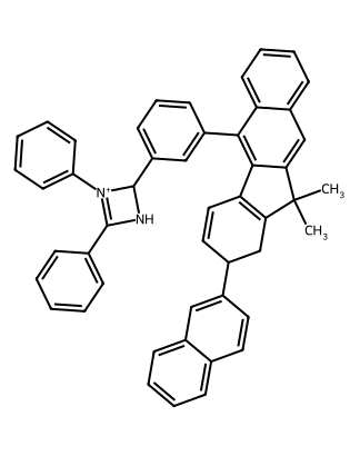 CC1(C)C2=C(C=CC(c3ccc4ccccc4c3)C2)c2c1cc1ccccc1c2-c1cccc(C2NC(c3ccccc3)=[N+]2c2ccccc2)c1